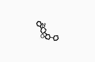 Cn1c2ccccc2c2cc3oc4ccc(-c5ccccc5)cc4c3cc21